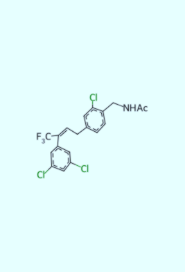 CC(=O)NCc1ccc(CC=C(c2cc(Cl)cc(Cl)c2)C(F)(F)F)cc1Cl